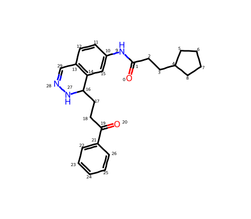 O=C(CCC1CCCC1)Nc1ccc2c(c1)C(CCC(=O)c1ccccc1)NN=C2